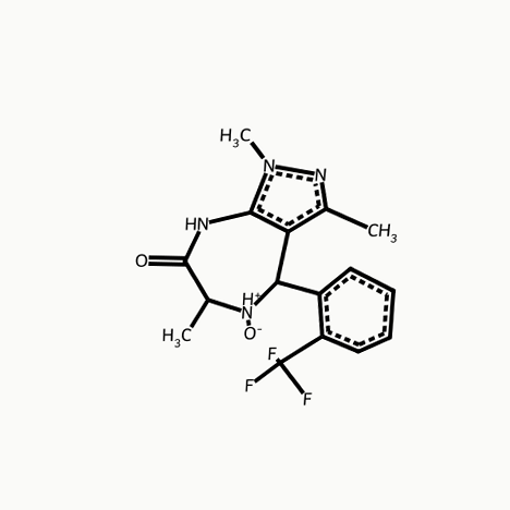 Cc1nn(C)c2c1C(c1ccccc1C(F)(F)F)[NH+]([O-])C(C)C(=O)N2